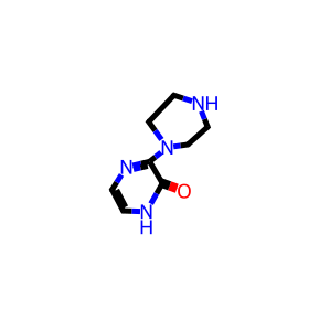 O=c1[nH]ccnc1N1CCNCC1